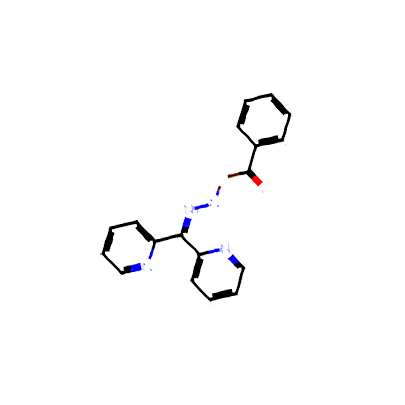 O=C(SNN=C(c1ccccn1)c1ccccn1)c1ccccc1